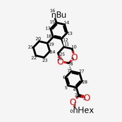 CCCCCCOC(=O)c1ccc([C@H]2OC[C@H](c3ccc(CCCC)cc3C3CCCCC3)CO2)cc1